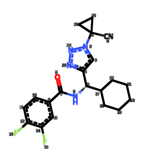 N#CC1(n2cc([C@@H](NC(=O)c3ccc(F)c(F)c3)C3CCCCC3)nn2)CC1